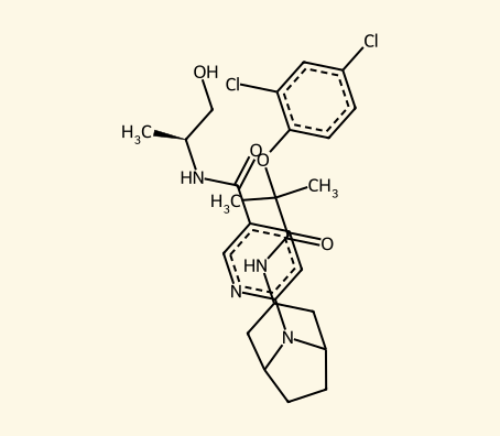 C[C@@H](CO)NC(=O)c1ccc(N2C3CCC2CC(NC(=O)C(C)(C)Oc2ccc(Cl)cc2Cl)C3)nc1